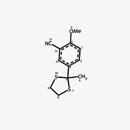 COc1ccc(C2(C)SCCS2)cc1C#N